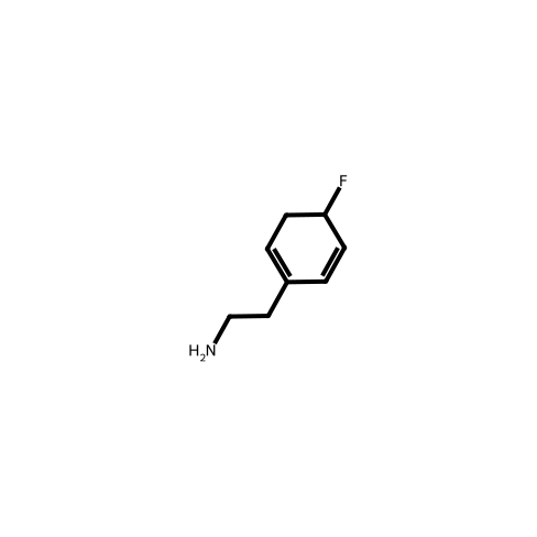 NCCC1=CCC(F)C=C1